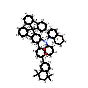 CC1(C)CCC(C)(C)c2cc(-c3ccc(-c4cc5c(cc4N(c4ccccc4)c4cccc6c4CCCC6)C4(c6ccccc6-c6ccccc64)c4ccccc4-5)cc3)ccc21